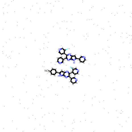 Fc1cnccc1-c1nc2cc(-c3cccnc3)[nH]c2nc1-c1cccnc1.N#Cc1ccc(-c2cc3nc(-c4ccncc4F)c(-c4cccnc4)nc3[nH]2)cc1